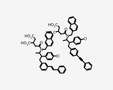 CC(C(Cc1ccc(C#Cc2ccccc2)cc1)c1ccc(Cl)cc1)N(Cc1ccc2ccccc2c1)C(=O)CC(CC(=O)O)C(=O)O.CC(C(Cc1cccc(/C=C/c2ccccc2)c1)c1ccc(Cl)cc1)N(Cc1ccc2ccccc2c1)C(=O)CC(CC(=O)O)C(=O)O